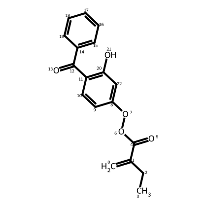 C=C(CC)C(=O)OOc1ccc(C(=O)c2ccccc2)c(O)c1